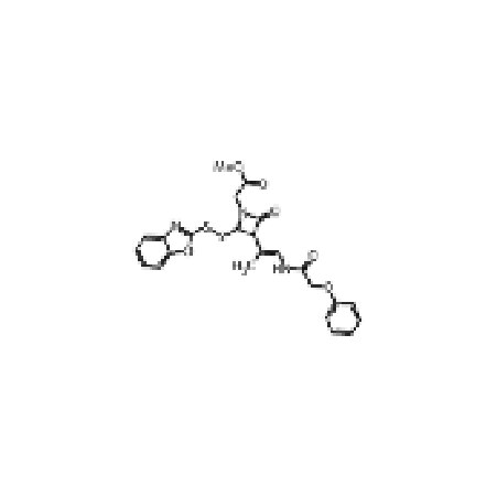 COC(=O)CN1C(=O)C(C(C)=CNC(=O)COc2ccccc2)C1SSc1nc2ccccc2o1